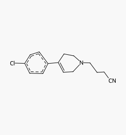 N#CCCCN1CC=C(c2ccc(Cl)cc2)CC1